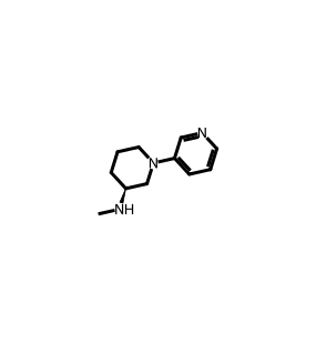 CN[C@H]1CCCN(c2cccnc2)C1